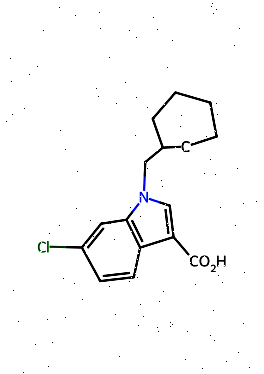 O=C(O)c1cn(CC2CCCCC2)c2cc(Cl)ccc12